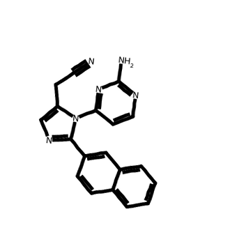 N#CCc1cnc(-c2ccc3ccccc3c2)n1-c1ccnc(N)n1